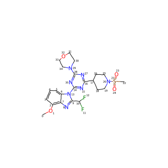 COc1cccc2c1nc(C(F)F)n2-c1nc(C2CCN(S(C)(=O)=O)CC2)nc(N2CCOCC2)n1